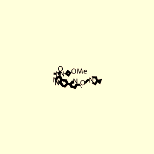 CO[C@H]1C[C@H](n2c(=O)n(C)c3nnc4ccc(-c5ccc([C@@H](C)OCCN6CCC7(CC6)CC7)nc5)cc4c32)C1